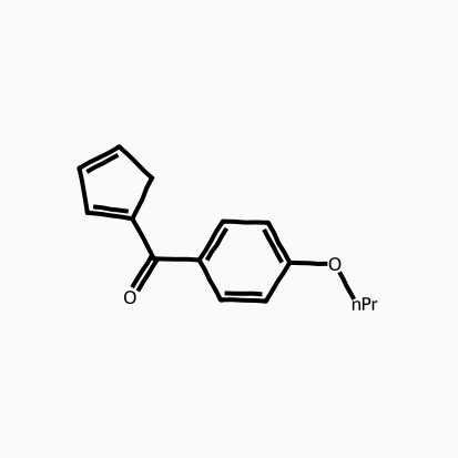 CCCOc1ccc(C(=O)C2=CC=CC2)cc1